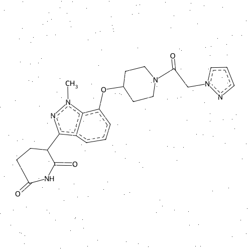 Cn1nc(C2CCC(=O)NC2=O)c2cccc(OC3CCN(C(=O)Cn4cccn4)CC3)c21